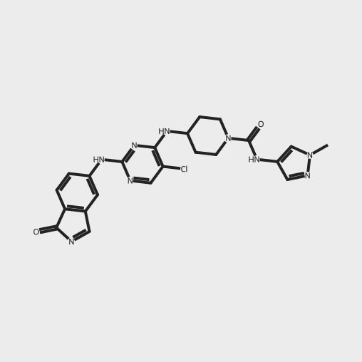 Cn1cc(NC(=O)N2CCC(Nc3nc(Nc4ccc5c(c4)C=NC5=O)ncc3Cl)CC2)cn1